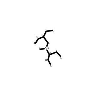 CCC(CC)CN(C)C(CC)CC